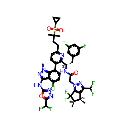 C[C@@H]1c2c(C(F)F)nn(CC(=O)N[C@@H](Cc3cc(F)cc(F)c3)c3nc(CCC(C)(C)S(=O)(=O)C4CC4)ccc3-c3ccc(Cl)c4c(Nc5nnc(C(F)F)o5)nn(C)c34)c2C(F)(F)[C@@H]1C